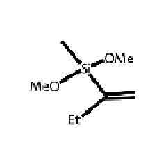 C=C(CC)[Si](C)(OC)OC